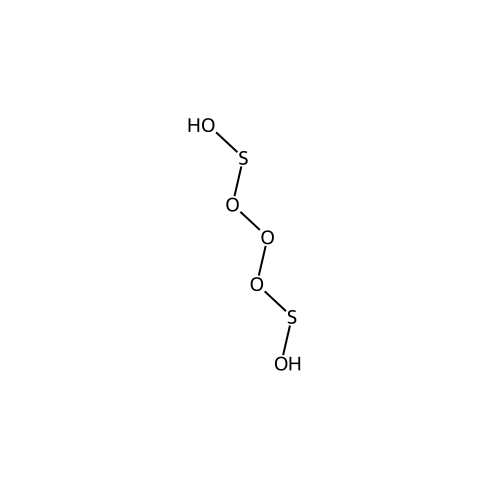 OSOOOSO